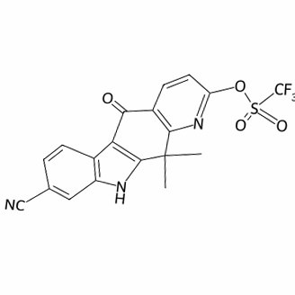 CC1(C)c2nc(OS(=O)(=O)C(F)(F)F)ccc2C(=O)c2c1[nH]c1cc(C#N)ccc21